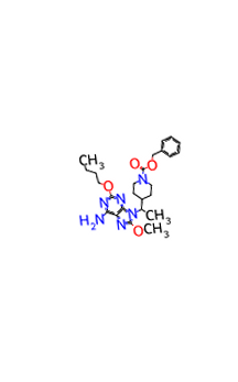 CCCCOc1nc(N)c2nc(OC)n(C(C)C3CCN(C(=O)OCc4ccccc4)CC3)c2n1